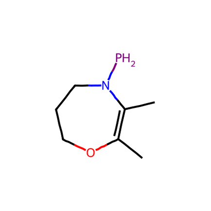 CC1=C(C)N(P)CCCO1